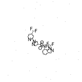 O=S(=O)(Nc1cccc2cnn(C(F)F)c12)c1cnn(-c2cc(C(F)F)ccn2)c1